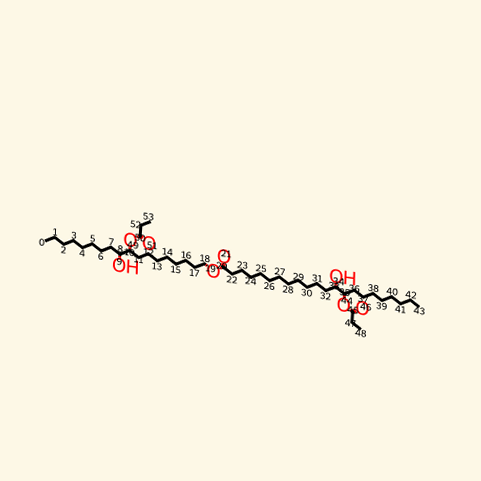 CCCCCCCCC(O)C(CCCCCCCCOC(=O)CCCCCCCCCCCC(O)C(CCCCCCCC)OC(=O)CC)OC(=O)CC